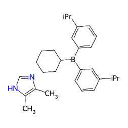 CC(C)c1cccc(B(c2cccc(C(C)C)c2)C2CCCCC2)c1.Cc1nc[nH]c1C